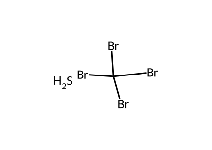 BrC(Br)(Br)Br.S